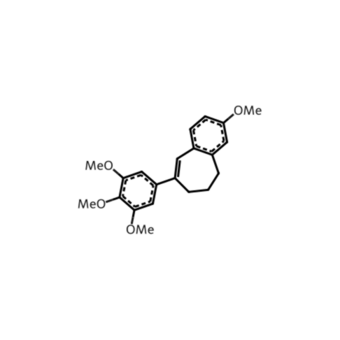 COc1ccc2c(c1)CCCC(c1cc(OC)c(OC)c(OC)c1)=C2